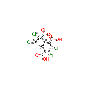 O=C(O)c1c(Cl)c(Cl)c(C(=O)O)c2c(C(=O)O)c(Cl)c(Cl)cc12